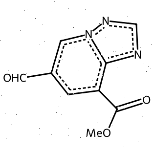 COC(=O)c1cc(C=O)cn2ncnc12